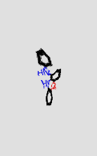 c1ccc(Nc2cccc3c2Nc2ccccc2O3)cc1